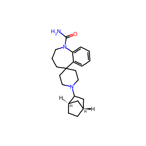 NC(=O)N1CCCC2(CCN(C3C[C@@H]4CC[C@@H]3C4)CC2)c2ccccc21